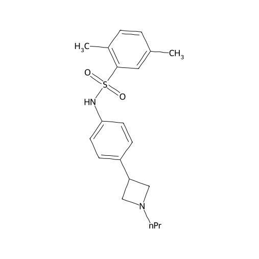 CCCN1CC(c2ccc(NS(=O)(=O)c3cc(C)ccc3C)cc2)C1